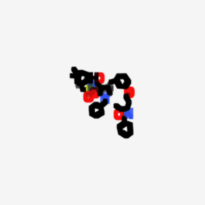 Cc1oc(-c2ccccc2)nc1CCOc1cccc(C[C@@H]2CN(Cc3ccccc3)C[C@H]2C(=O)N2[C@@H]3CC4CC[C@@]3(CC4(C)C)CS2(=O)=O)c1